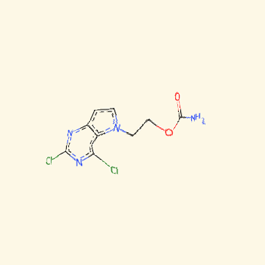 NC(=O)OCCn1ccc2nc(Cl)nc(Cl)c21